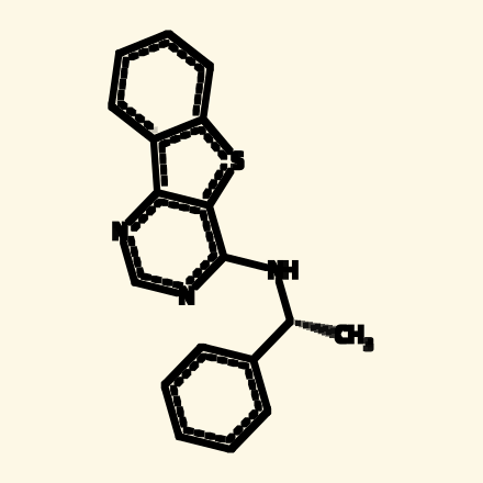 C[C@@H](Nc1ncnc2c1sc1ccccc12)c1ccccc1